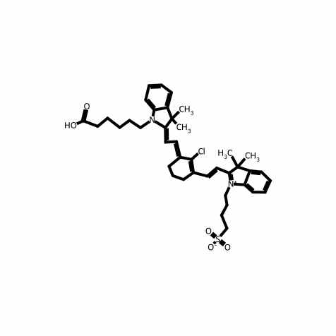 CC1(C)C(/C=C/C2=C(Cl)C(=C/C=C3/N(CCCCCC(=O)O)c4ccccc4C3(C)C)/CCC2)=[N+](CCCCS(=O)(=O)[O-])c2ccccc21